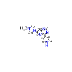 CN1CCN(c2cnc3c(C4CCNCC4)ncnc3c2)CC1